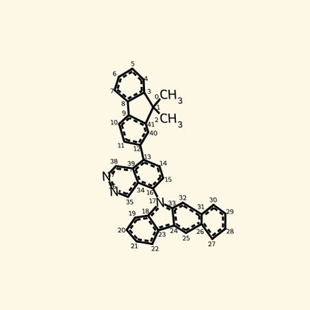 CC1(C)c2ccccc2-c2ccc(-c3ccc(-n4c5ccccc5c5cc6ccccc6cc54)c4cnncc34)cc21